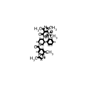 Cc1nn(C)c(S(C)(=O)=O)c1C(=O)N[C@@H]1CCN(C(=O)c2cc(C)c3ncc(C)n3c2)C[C@@H]1c1ccccc1